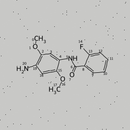 COc1cc(NC(=O)c2ccccc2F)c(OC)cc1N